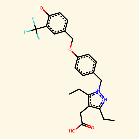 CCc1nn(Cc2ccc(OCc3ccc(O)c(C(F)(F)F)c3)cc2)c(CC)c1CC(=O)O